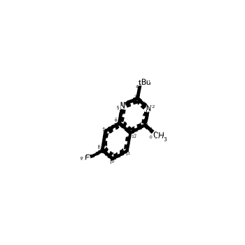 Cc1nc(C(C)(C)C)nc2cc(F)ccc12